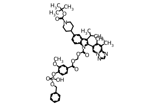 COc1cc(C(=O)OCOC(=O)n2c(-c3cn4ncnc4c(C)c3C)c(C(C)C)c3cc(C4CCN(C(=O)OC(C)(C)C)CC4)ccc32)ccc1OP(=O)(O)OCc1ccccc1